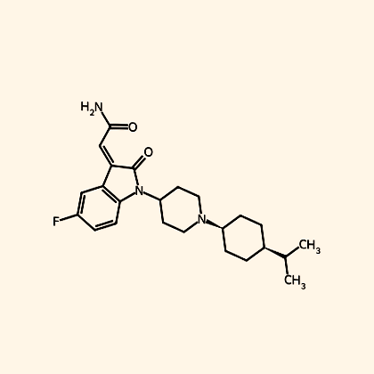 CC(C)[C@H]1CC[C@@H](N2CCC(N3C(=O)/C(=C\C(N)=O)c4cc(F)ccc43)CC2)CC1